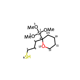 CO[Si](OC)(OC)C1(CCCS)CCCCO1